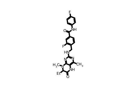 CCC1C(=O)Nc2c(C)nc(NCc3ccc(C(=O)Nc4ccc(F)cc4)cc3F)nc2N1C